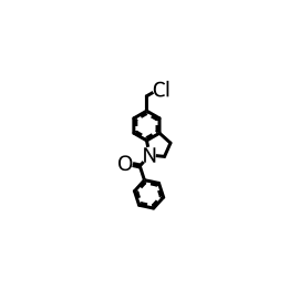 O=C(c1ccccc1)N1CCc2cc(CCl)ccc21